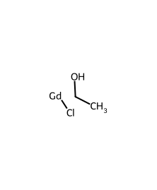 CCO.[Cl][Gd]